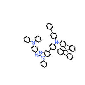 c1ccc(-c2ccc(N(c3ccc(-c4ccc5c(c4)n4c6cc(N(c7ccccc7)c7ccccc7)ccc6nc4n5-c4ccccc4)cc3)c3ccc4c(c3)C3(c5ccccc5-c5ccccc53)c3ccccc3-4)cc2)cc1